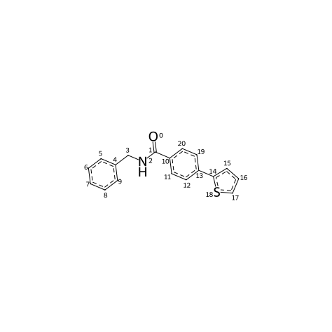 O=C(NCc1ccccc1)c1ccc(-c2cccs2)cc1